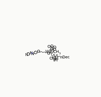 CCCCCCCCCCCCSC(=S)SC(CC(CC(C)(C)C(=O)ON1C(=O)CCC1=O)C(=O)OCCCCCCOc1ccc(/N=N/c2ccncc2)cc1)C(=O)NC(C)C